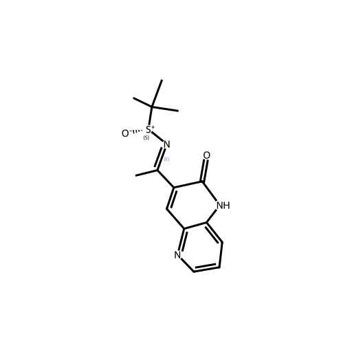 C/C(=N\[S@+]([O-])C(C)(C)C)c1cc2ncccc2[nH]c1=O